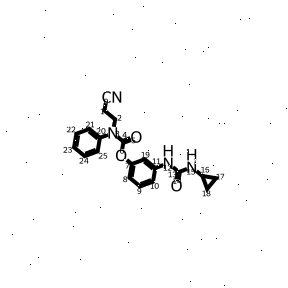 N#CCCN(C(=O)Oc1cccc(NC(=O)NC2CC2)c1)c1ccccc1